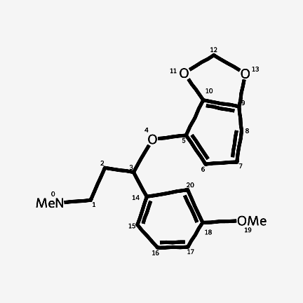 CNCCC(Oc1cccc2c1OCO2)c1cccc(OC)c1